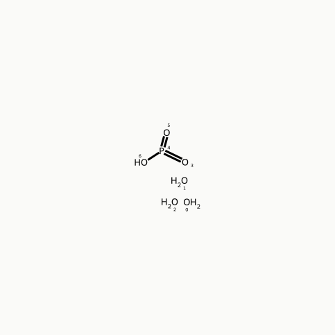 O.O.O.O=P(=O)O